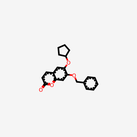 O=c1ccc2cc(OC3CCCC3)c(OCc3ccccc3)cc2o1